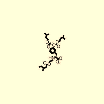 CCC(C)CC(=O)OCCN[C@@H](Cc1ccc(OC(=O)OCCC(C)C)c(OC(=O)OCCC(C)C)c1)C(=O)OC